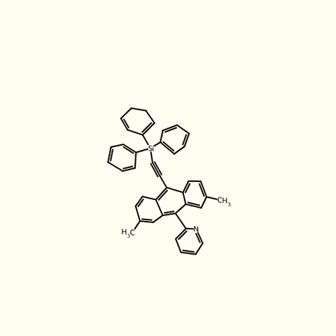 Cc1ccc2c(C#C[Si](C3=CCCC=C3)(c3ccccc3)c3ccccc3)c3ccc(C)cc3c(-c3ccccn3)c2c1